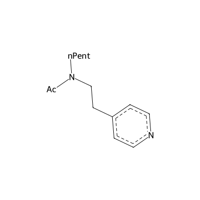 CCCCCN(CCc1ccncc1)C(C)=O